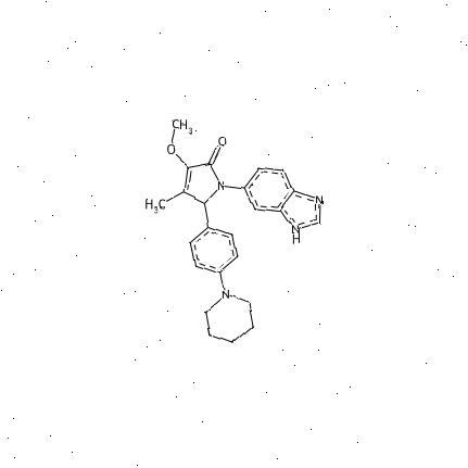 COC1=C(C)C(c2ccc(N3CCCCC3)cc2)N(c2ccc3nc[nH]c3c2)C1=O